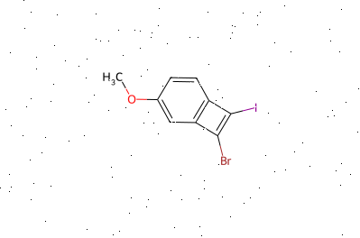 COc1ccc2c(c1)C(Br)=C2I